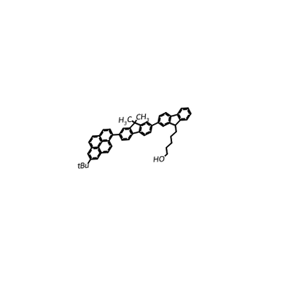 CC(C)(C)c1cc2ccc3ccc(-c4ccc5c(c4)C(C)(C)c4cc(-c6ccc7c(c6)C(CCCCCO)c6ccccc6-7)ccc4-5)c4ccc(c1)c2c34